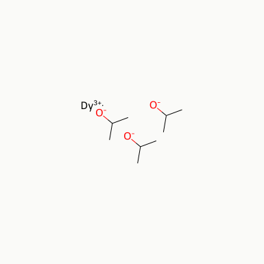 CC(C)[O-].CC(C)[O-].CC(C)[O-].[Dy+3]